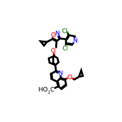 O=C(O)c1ccc(OCC2CC2)c2nc(C34CCC(OCc5c(-c6c(Cl)cncc6Cl)noc5C5CC5)(CC3)CC4)ccc12